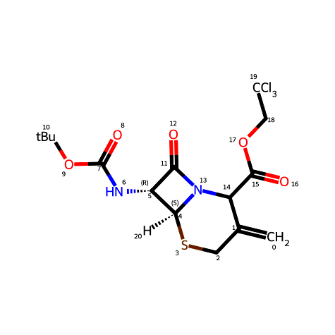 C=C1CS[C@H]2[C@H](NC(=O)OC(C)(C)C)C(=O)N2C1C(=O)OCC(Cl)(Cl)Cl